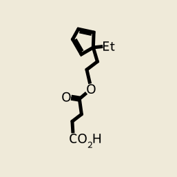 CCC1(CCOC(=O)CCC(=O)O)C=CC=C1